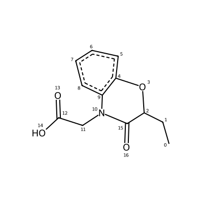 CCC1Oc2ccccc2N(CC(=O)O)C1=O